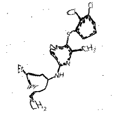 C=CCC(CC(CC)C(C)C)Nc1cnc(Sc2cccc(Cl)c2Cl)c(C)n1